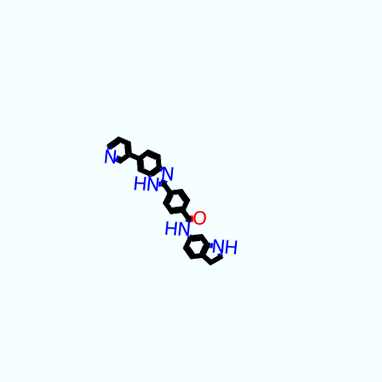 O=C(Nc1ccc2c(c1)NCC2)c1ccc(-c2nc3ccc(-c4cccnc4)cc3[nH]2)cc1